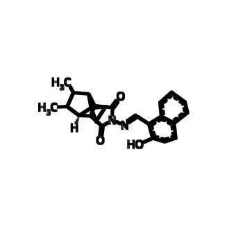 CC1C(C)[C@@H]2C3C(=O)N(/N=C/c4c(O)ccc5ccccc45)C(=O)C3C1C21CC1